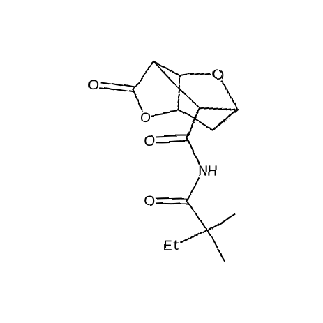 CCC(C)(C)C(=O)NC(=O)C1C2CC3OC(=O)C1C3O2